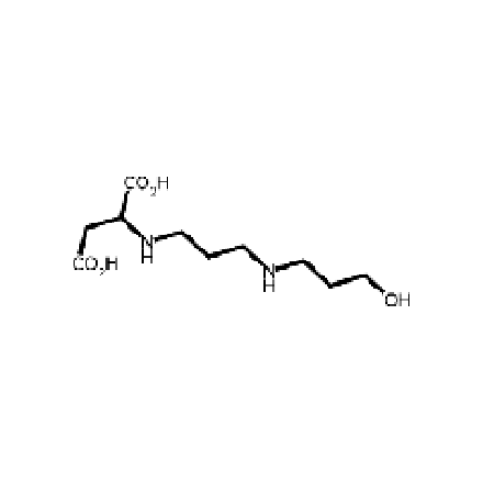 O=C(O)CC(NCCCNCCCO)C(=O)O